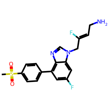 CS(=O)(=O)c1ccc(-c2cc(F)cc3c2ncn3C/C(F)=C/CN)cc1